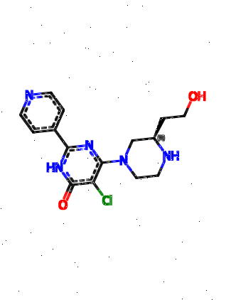 O=c1[nH]c(-c2ccncc2)nc(N2CCN[C@H](CCO)C2)c1Cl